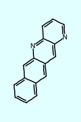 c1ccc2cc3nc4cccnc4cc3cc2c1